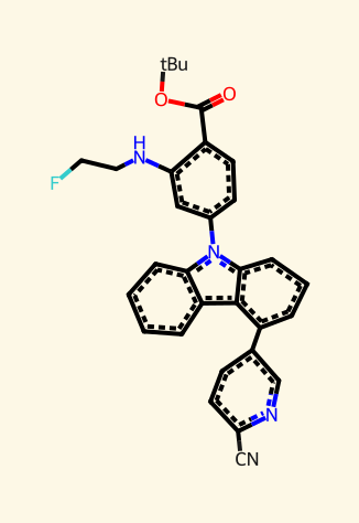 CC(C)(C)OC(=O)c1ccc(-n2c3ccccc3c3c(-c4ccc(C#N)nc4)cccc32)cc1NCCF